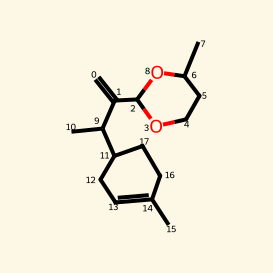 C=C(C1OCCC(C)O1)C(C)C1CC=C(C)CC1